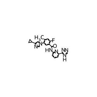 Cc1cc(F)c(C(=O)Nc2cccc(-c3nnc[nH]3)n2)cc1-n1cnc(C2CC2)c1